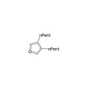 CCCCCc1[c]occ1CCCCC